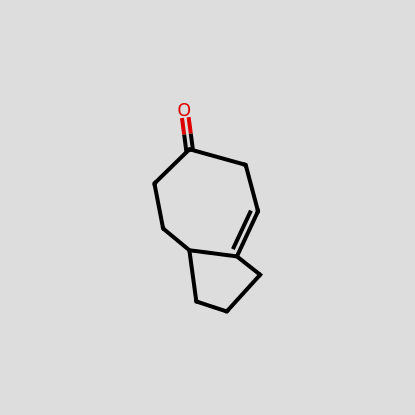 O=C1CC=C2CCCC2CC1